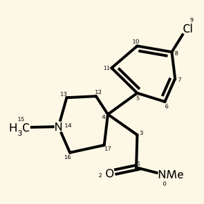 CNC(=O)CC1(c2ccc(Cl)cc2)CCN(C)CC1